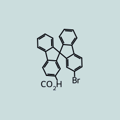 O=C(O)c1ccc2c(c1)C1(c3ccccc3-c3ccc(Br)cc31)c1ccccc1-2